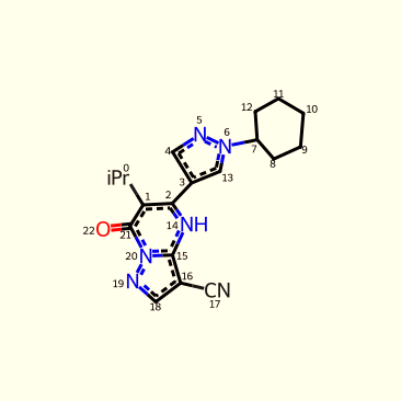 CC(C)c1c(-c2cnn(C3CCCCC3)c2)[nH]c2c(C#N)cnn2c1=O